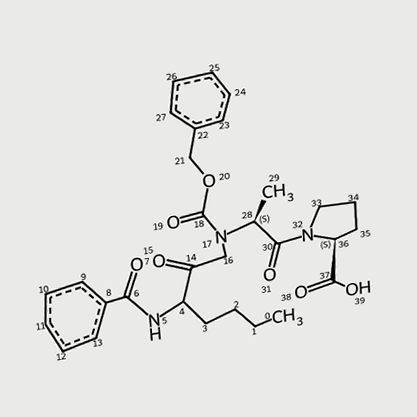 CCCCC(NC(=O)c1ccccc1)C(=O)CN(C(=O)OCc1ccccc1)[C@@H](C)C(=O)N1CCC[C@H]1C(=O)O